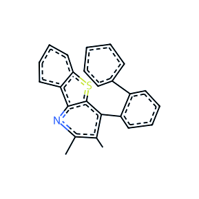 Cc1nc2c(sc3ccccc32)c(-c2ccccc2-c2ccccc2)c1C